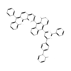 CC1CC=Cc2c1c(-c1ccc3ccc4c(-c5ccccc5)c5ccccc5nc4c3n1)c1ccccc1c2-c1cc(-c2ccc(C3C=CC=CC3C)cc2)nc(-c2ccccc2)n1